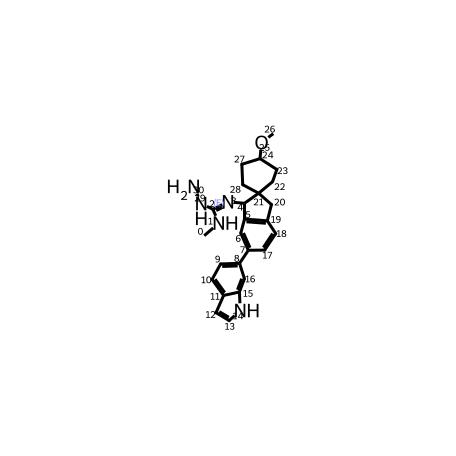 CN/C(=N\C1c2cc(-c3ccc4cc[nH]c4c3)ccc2CC12CCC(OC)CC2)NN